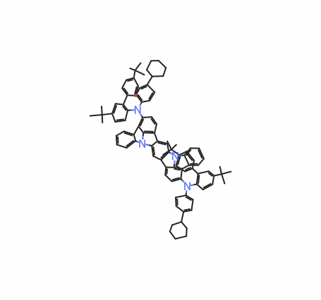 CC(C)(C)c1ccc(-c2cc(C(C)(C)C)ccc2N(c2ccc(C3CCCCC3)cc2)c2ccc3c4cc5c(cc4n4c6ccccc6c2c34)c2ccc(N(c3ccc(C4CCCCC4)cc3)c3ccc(C(C)(C)C)cc3-c3ccc(C(C)(C)C)cc3)c3c4ccccc4n5c23)cc1